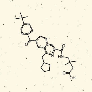 CC(C)(CNC(=O)c1cc2ccc(C(=O)c3ccc(C(C)(C)C)cc3)cc2c(CC2CCCC2)n1)CC(=O)O